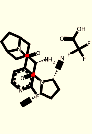 C#C[C@H]1CC[C@@H](C#N)N1C(=O)[C@@H](N)C1CC2CCC(C1)N2C(=O)c1ccnc(F)c1.O=C(O)C(F)(F)F